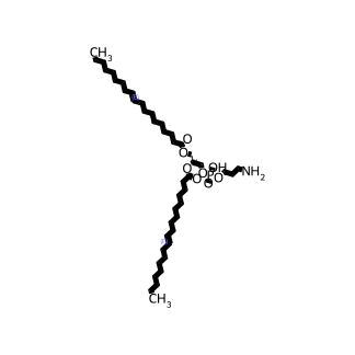 CCCCCCCC/C=C/CCCCCCCCC(=O)OC[C@H](COP(=O)(O)OCCCN)OC(=O)CCCCCCCC/C=C/CCCCCCCC